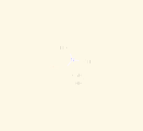 CN(C)C=O.[CaH2].[HH]